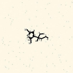 CCCC(C)(CC)c1cc(C)sc1C